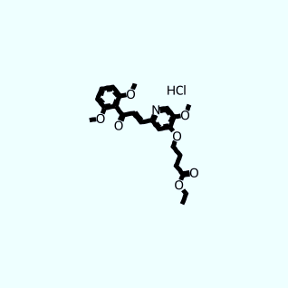 CCOC(=O)CCCOc1cc(/C=C/C(=O)c2c(OC)cccc2OC)ncc1OC.Cl